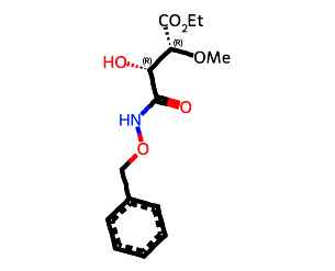 CCOC(=O)[C@H](OC)[C@@H](O)C(=O)NOCc1ccccc1